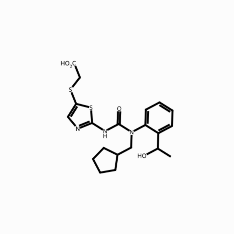 CC(O)c1ccccc1N(CC1CCCC1)C(=O)Nc1ncc(SCC(=O)O)s1